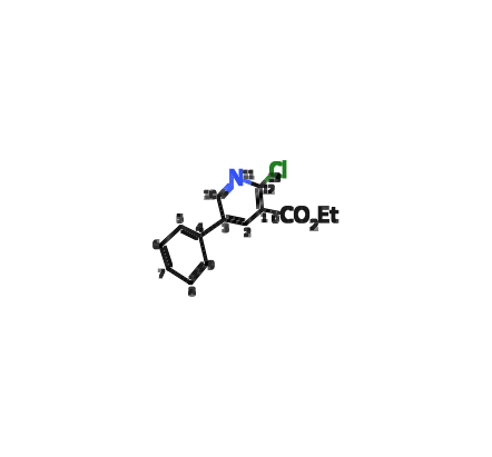 CCOC(=O)c1cc(-c2ccccc2)cnc1Cl